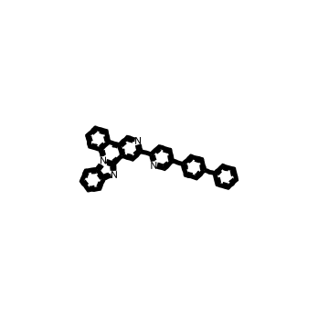 c1ccc(-c2ccc(-c3ccc(-c4cc5c(cn4)c4ccccc4n4c6ccccc6nc54)nc3)cc2)cc1